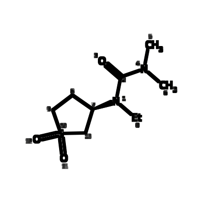 CCN(C(=O)N(C)C)[C@@H]1CCS(=O)(=O)C1